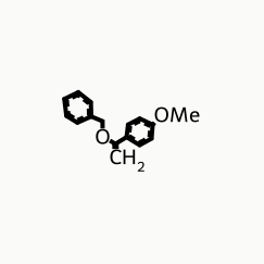 C=C(OCc1ccccc1)c1ccc(OC)cc1